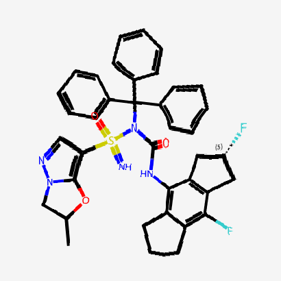 CC1Cn2ncc(S(=N)(=O)N(C(=O)Nc3c4c(c(F)c5c3C[C@H](F)C5)CCC4)C(c3ccccc3)(c3ccccc3)c3ccccc3)c2O1